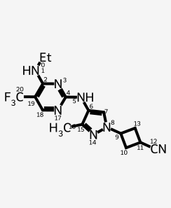 CCNc1nc(Nc2cn(C3CC(C#N)C3)nc2C)ncc1C(F)(F)F